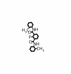 Cc1ccccc1NC(=O)c1cccc(C(=O)Nc2ccccc2C)c1F